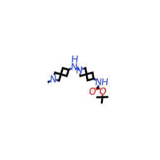 CN1CC2(CC(NN3CC4(CC(NC(=O)OC(C)(C)C)C4)C3)C2)C1